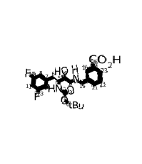 CC(C)(C)OC(=O)N[C@@H](Cc1cc(F)cc(F)c1)[C@H](O)CNCc1cccc(C(=O)O)c1